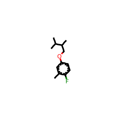 Cc1cc(OCC(C)C(C)C)ccc1F